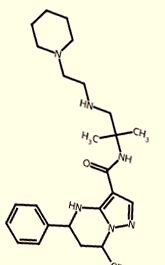 CC(C)(CNCCN1CCCCC1)NC(=O)c1cnn2c1NC(c1ccccc1)CC2C(F)(F)F